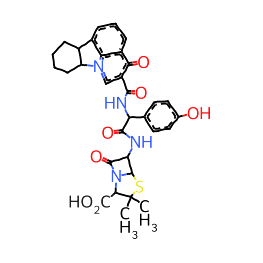 CC1(C)SC2C(NC(=O)C(NC(=O)c3cn4c5c(cccc5c3=O)C3CCCCC34)c3ccc(O)cc3)C(=O)N2C1C(=O)O